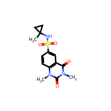 Cn1c(=O)c2cc(S(=O)(=O)NC3(C)CC3)ccc2n(C)c1=O